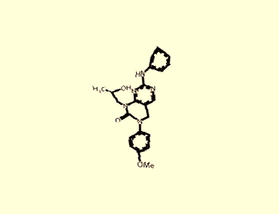 COc1ccc(N2Cc3cnc(Nc4ccccc4)nc3N(C[C@@H](C)O)C2=O)cc1